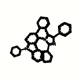 c1ccc(-c2nc(-c3ccccc3)n3c2c2ccccc2c2ccc4c(c5ccccc5n4-c4ccccc4)c23)cc1